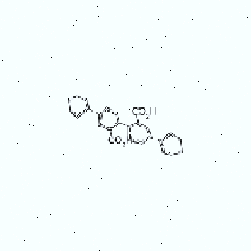 O=C(O)c1cc(-c2ccccc2)ccc1-c1ccc(-c2ccccc2)cc1C(=O)O